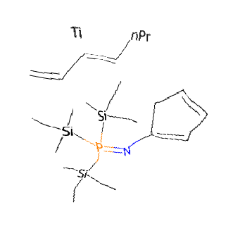 C=CC=CCCC.C[Si](C)(C)P(=NC1=CC=CC1)([Si](C)(C)C)[Si](C)(C)C.[Ti]